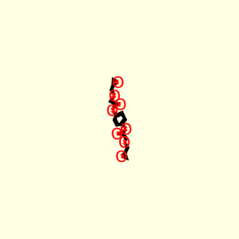 O=C(COCC1CO1)Oc1ccc(OC(=O)COCC2CO2)cc1